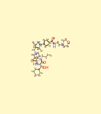 CCCCN1C(=O)[C@@H]([C@H](O)C2CCCCC2)NC(=O)C12CCN(Cc1c(C)nn(-c3ccc(C(=O)NCCN4CCOCC4)cc3)c1C)CC2